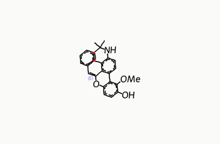 COc1c(O)ccc2c1-c1ccc3c(c1/C(=C\c1ccccc1)O2)C(C)=CC(C)(C)N3